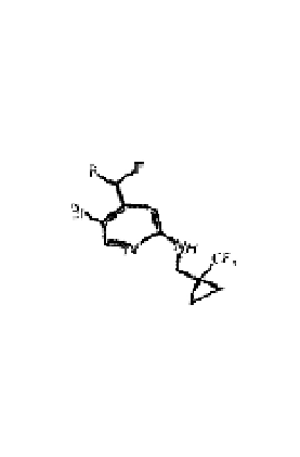 FC(F)c1cc(NCC2(C(F)(F)F)CC2)ncc1Br